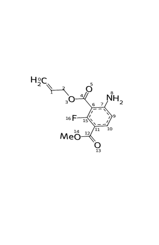 C=CCOC(=O)c1c(N)ccc(C(=O)OC)c1F